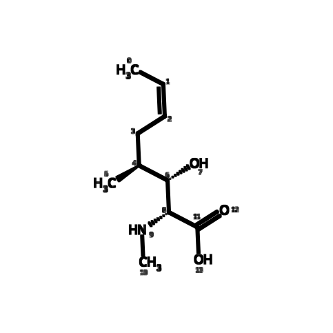 C/C=C\C[C@H](C)[C@H](O)[C@@H](NC)C(=O)O